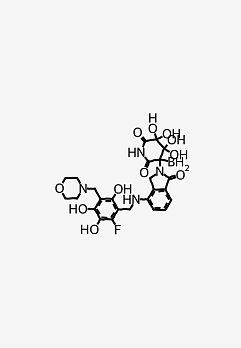 BC1(N2Cc3c(NCc4c(O)c(CN5CCOCC5)c(O)c(O)c4F)cccc3C2=O)C(=O)NC(=O)C(O)(O)C1(O)O